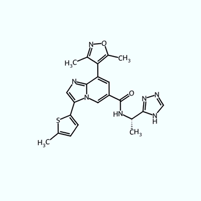 Cc1ccc(-c2cnc3c(-c4c(C)noc4C)cc(C(=O)N[C@@H](C)c4nnc[nH]4)cn23)s1